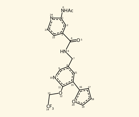 CC(=O)Nc1cc(C(=O)NCc2cnc(OCC(F)(F)F)c(-c3ccco3)c2)ccn1